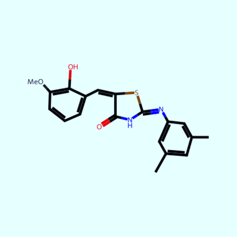 COc1cccc(C=C2SC(=Nc3cc(C)cc(C)c3)NC2=O)c1O